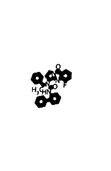 C[C@@H](c1ccccc1)N(C(=O)Nc1ccccc1-c1ccccc1)C1CCn2c1nc1c(F)cccc1c2=O